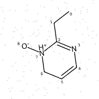 CCC1=NC=CC[NH+]1[O-]